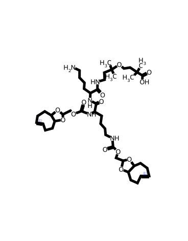 CC(C)(CCNC(=O)C(CCCCN)NC(=O)C(CCCCNC(=O)OCC1OC2CC/C=C/CCC2O1)NC(=O)OCC1OC2CC/C=C/CCC2O1)OCCC(C)(C)C(=O)O